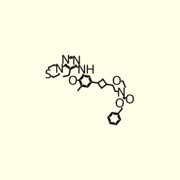 Cc1cc(C2CC(C3CN(C(=O)OCc4ccccc4)CCO3)C2)cc2c1OC(C)c1c(ncnc1N1CCSCC1)N2